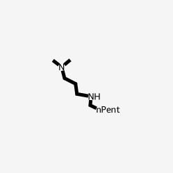 CCCCCCNCCCN(C)C